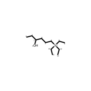 CCC(O)CCC[Si](CC)(CC)CC